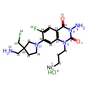 Cl.N#CCCCn1c(=O)n(N)c(=O)c2cc(F)c(N3CCC(CN)(CF)C3)cc21